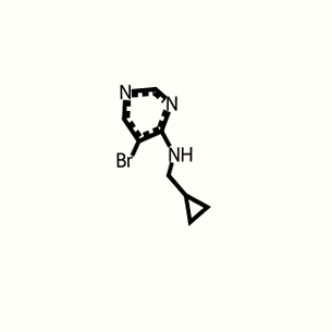 Brc1cncnc1NCC1CC1